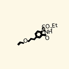 C=CCOCCCc1ccc2c(c1)c(=O)[nH]n2C(=O)OCC